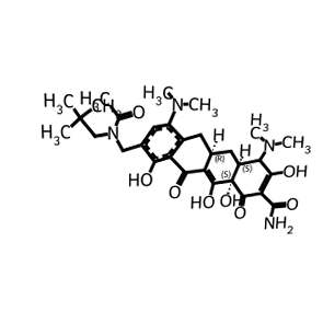 CC(=O)N(Cc1cc(N(C)C)c2c(c1O)C(=O)C1=C(O)[C@]3(O)C(=O)C(C(N)=O)=C(O)C(N(C)C)[C@@H]3C[C@@H]1C2)CC(C)(C)C